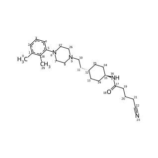 Cc1cccc(N2CCN(CC[C@H]3CC[C@H](NC(=O)CCCC#N)CC3)CC2)c1C